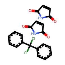 ClC(Cl)(c1ccccc1)c1ccccc1.O=C1C=CC(=O)N1.O=C1C=CC(=O)N1